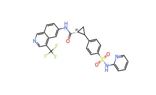 O=C(Nc1ccc2cncc(C(F)(F)F)c2c1)[C@@H]1CC1c1ccc(S(=O)(=O)Nc2ccccn2)cc1